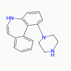 C1=Cc2ccccc2-c2c(cccc2N2CCNCC2)N1